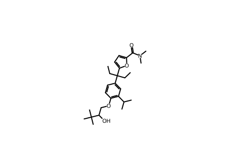 CCC(CC)(c1ccc(OCC(O)C(C)(C)C)c(C(C)C)c1)c1ccc(C(=O)N(C)C)o1